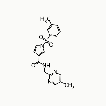 Cc1cnc(CNC(=O)c2ccn(S(=O)(=O)c3cccc(C)c3)c2)nc1